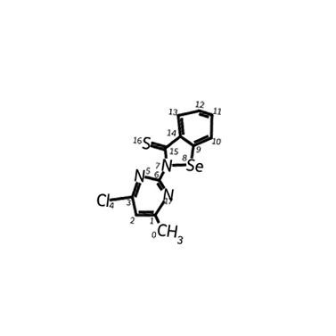 Cc1cc(Cl)nc(-n2[se]c3ccccc3c2=S)n1